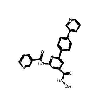 O=C(NO)c1cc(NC(=O)c2cccnc2)nc(-c2ccc(-c3cccnc3)cc2)c1